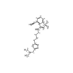 CN(C)Cc1ccc(CSCCNC2=NS(=O)(=O)c3cccc(C#N)c32)o1